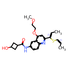 C/C=C\S/C(=C\C)c1cc(OCCOC)c2cc(NC(=O)C3CC(O)C3)ccc2n1